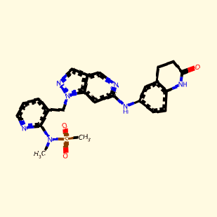 CN(c1ncccc1Cn1ncc2cnc(Nc3ccc4c(c3)CCC(=O)N4)cc21)S(C)(=O)=O